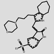 CCS(=O)(=O)c1ccc2c(c1)/C(=C/c1[nH]c3c(c1CCCN1CCOCC1)CCCCC3)C(=O)N2